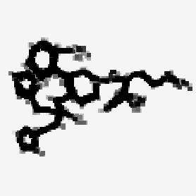 CSCC[C@H](NN1CCC(CC(N)(Cc2cncs2)Cc2cncs2)=C(c2ccccc2C)C1)C(=O)O